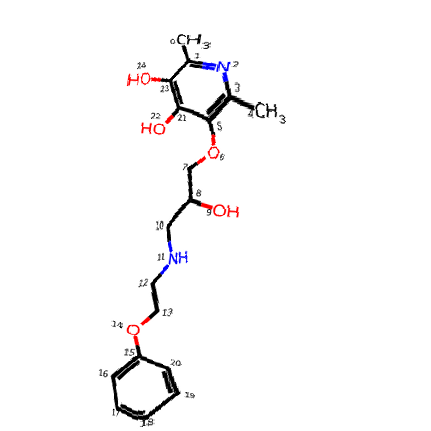 Cc1nc(C)c(OCC(O)CNCCOc2ccccc2)c(O)c1O